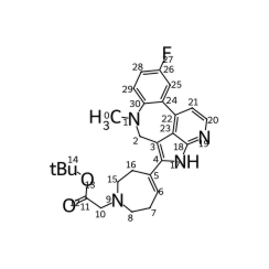 CN1Cc2c(C3=CCCN(CC(=O)OC(C)(C)C)CC3)[nH]c3nccc(c23)-c2cc(F)ccc21